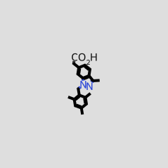 Cc1cc(C)c(Cn2nc(C)c3ccc(CC(=O)O)cc32)c(C)c1